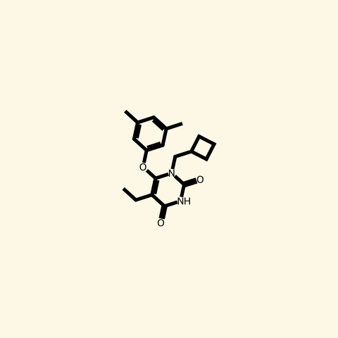 CCc1c(Oc2cc(C)cc(C)c2)n(CC2CCC2)c(=O)[nH]c1=O